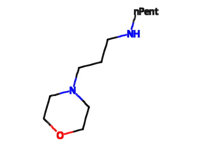 CCCCCNCCCN1CCOCC1